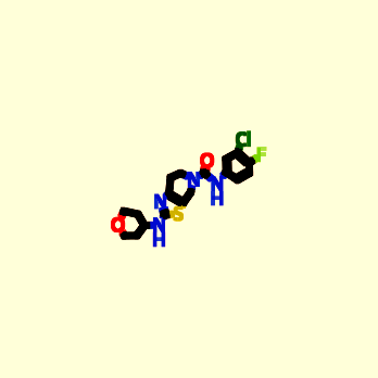 O=C(Nc1ccc(F)c(Cl)c1)N1CCc2nc(NC3CCOCC3)sc2C1